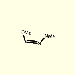 CN/N=C\OC